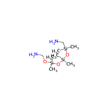 C[Si](C)(CN)O[Si](C)(C)O[Si](C)(C)OCN